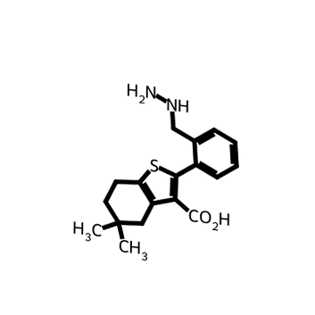 CC1(C)CCc2sc(-c3ccccc3CNN)c(C(=O)O)c2C1